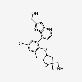 Cc1cc(Cl)cc(-c2ccnc3cc(CO)sc23)c1OC1COC2(CNC2)C1